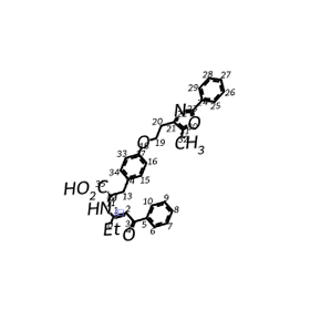 CC/C(=C\C(=O)c1ccccc1)N[C@@H](Cc1ccc(OCCc2nc(-c3ccccc3)oc2C)cc1)C(=O)O